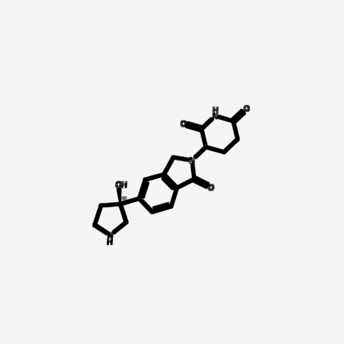 O=C1CCC(N2Cc3cc([C@@]4(O)CCNC4)ccc3C2=O)C(=O)N1